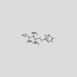 CC(N)C(N)C(N)CCC1CC2C=CC1C2